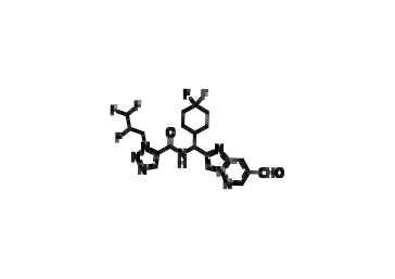 O=Cc1cnn2cc(C(NC(=O)c3cnnn3CC(F)C(F)F)C3CCC(F)(F)CC3)nc2c1